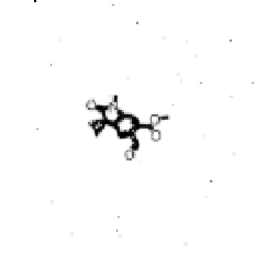 COC(=O)c1cc2c(cc1C=O)C1(CC1)C(=O)N2C